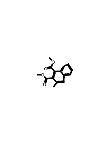 COC(=O)c1c(C)cc2ccccc2c1C(=O)OC